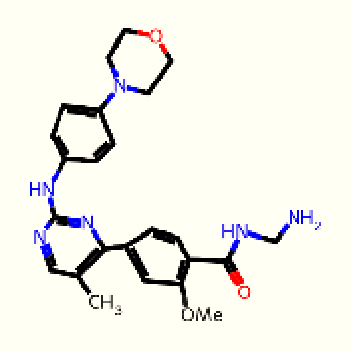 COc1cc(-c2nc(Nc3ccc(N4CCOCC4)cc3)ncc2C)ccc1C(=O)NCN